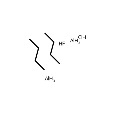 CCCC.CCCC.Cl.F.[AlH3].[AlH3]